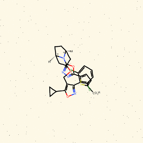 O=C(O)c1ccc(-c2nnc(N3[C@@H]4CC[C@H]3CC(OCc3c(-c5c(Cl)cccc5Cl)noc3C3CC3)C4)o2)s1